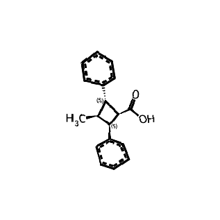 C[C@H]1[C@H](c2ccccc2)[C@@H](C(=O)O)[C@H]1c1ccccc1